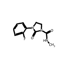 CNC(=O)N1CCN(c2ccccc2F)C1=O